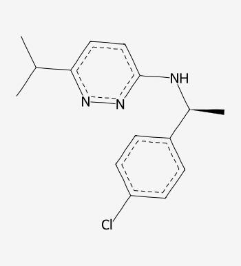 CC(C)c1ccc(N[C@@H](C)c2ccc(Cl)cc2)nn1